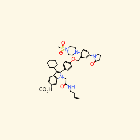 C=CCCNC(=O)Cn1c(-c2ccc(OCc3cc(N4CCCC4=O)ccc3N3CCN(S(C)(=O)=O)CC3)cc2)c(C2CCCCC2)c2ccc(C(=O)O)cc21